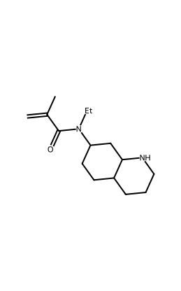 C=C(C)C(=O)N(CC)C1CCC2CCCNC2C1